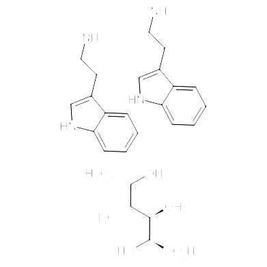 NCCc1c[nH]c2ccccc12.NCCc1c[nH]c2ccccc12.O=C(O)[C@@H](O)[C@H](O)[C@H](O)[C@@H](O)C(=O)O